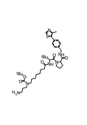 Cc1ncsc1-c1ccc(CNC(=O)C2CCCN2C(=O)C(NC(=O)CCCCCCCN(CCCN)C(=O)OC(C)(C)C)C(C)(C)C)cc1